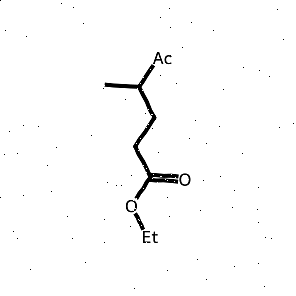 CCOC(=O)CCC(C)C(C)=O